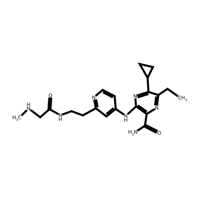 CCc1nc(C(N)=O)c(Nc2ccnc(CCNC(=O)CNC)c2)nc1C1CC1